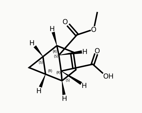 COC(=O)[C@H]1[C@H]2C=C[C@H]([C@@H]3C[C@H]23)[C@H]1C(=O)O